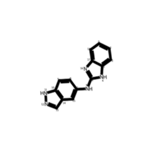 c1ccc2[nH]c(Nc3ccc4[nH]ncc4c3)nc2c1